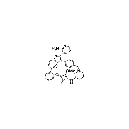 COc1c(N[C@@H]2CCCN(Cc3ccc(-n4c(-c5cccnc5N)nc5ccc(-c6ccccc6)nc54)cc3)C2)c(=O)c1=O